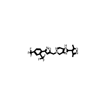 Cc1noc(C)c1-c1nc2c([nH]1)C=NN(Cc1cc(-c3ccc(C(F)(F)F)cc3C(F)(F)F)no1)C2